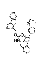 COc1cccc(-c2c[nH]c(C(Cc3ccccc3)NC(=O)OCc3cccc4c3Cc3ccccc3-4)n2)c1